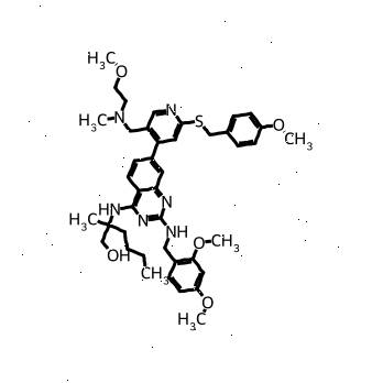 CCCCC(C)(CO)Nc1nc(NCc2ccc(OC)cc2OC)nc2cc(-c3cc(SCc4ccc(OC)cc4)ncc3CN(C)CCOC)ccc12